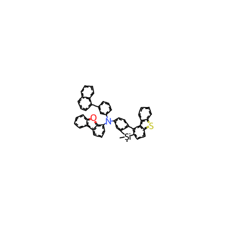 C[Si]1(C)c2cc(N(c3cccc(-c4cccc5ccccc45)c3)c3cccc4c3oc3ccccc34)ccc2-c2c1ccc1sc3ccccc3c21